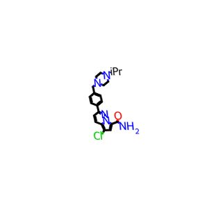 CC(C)N1CCN(Cc2ccc(-c3ccc4c(Cl)cc(C(N)=O)n4n3)cc2)CC1